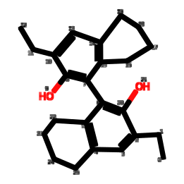 CCc1cc2c(c(-c3c(O)c(CC)cc4c3CCCC4)c1O)CCCC2